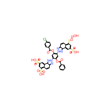 O=C(Oc1cc(-n2nc3ccc4c(S(=O)(=O)O)cc(S(=O)(=O)O)cc4c3n2)c(OC(=O)c2ccccc2)cc1-n1nc2ccc3c(SOOO)cc(S(=O)(=O)O)cc3c2n1)c1ccc(Cl)cc1